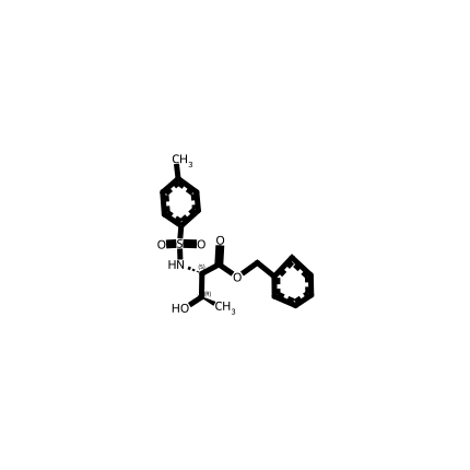 Cc1ccc(S(=O)(=O)N[C@H](C(=O)OCc2ccccc2)[C@@H](C)O)cc1